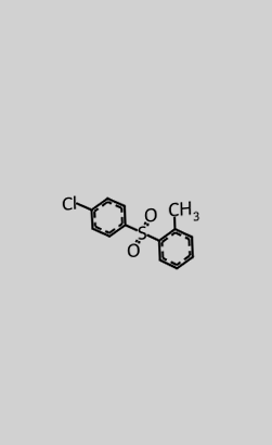 Cc1ccccc1S(=O)(=O)c1ccc(Cl)cc1